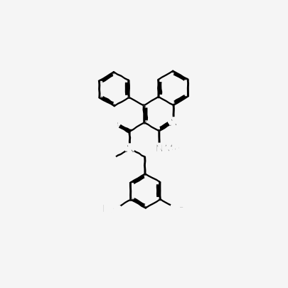 CNc1nc2ccccc2c(-c2ccccc2)c1C(=O)N(C)Cc1cc(C(F)(F)F)cc(C(F)(F)F)c1